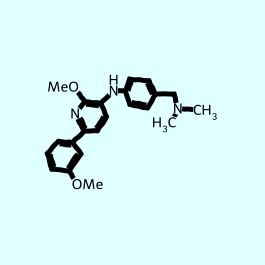 COc1cccc(-c2ccc(Nc3ccc(CN(C)C)cc3)c(OC)n2)c1